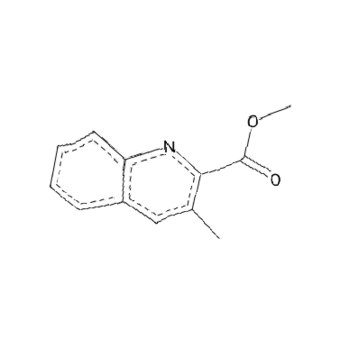 COC(=O)c1nc2ccccc2cc1C